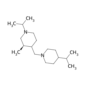 CC(C)C1CCN(CC2CCN(C(C)C)C[C@@H]2C)CC1